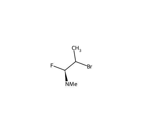 CN[C@@H](F)C(C)Br